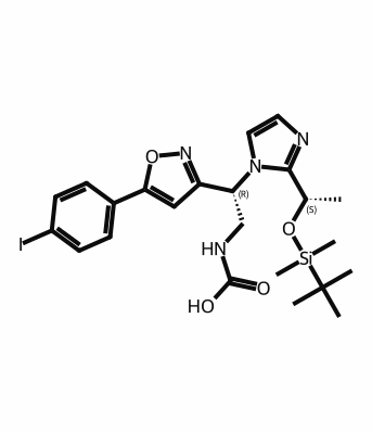 C[C@H](O[Si](C)(C)C(C)(C)C)c1nccn1[C@H](CNC(=O)O)c1cc(-c2ccc(I)cc2)on1